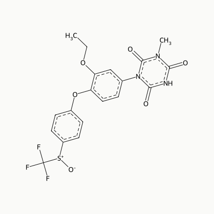 CCOc1cc(-n2c(=O)[nH]c(=O)n(C)c2=O)ccc1Oc1ccc([S+]([O-])C(F)(F)F)cc1